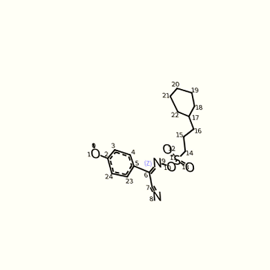 COc1ccc(/C(C#N)=N/OS(=O)(=O)CCCC2CCCCC2)cc1